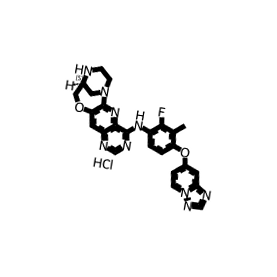 Cc1c(Oc2ccn3ncnc3c2)ccc(Nc2ncnc3cc4c(nc23)N2CCN[C@H](CO4)C2)c1F.Cl